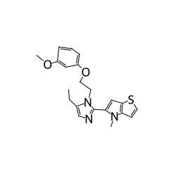 CCc1cnc(-c2cc3sccc3n2C)n1CCOc1cccc(OC)c1